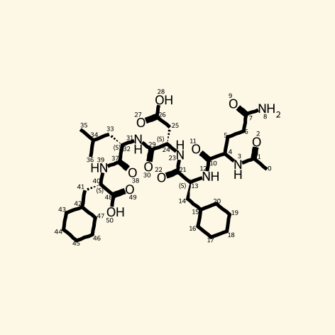 CC(=O)NC(CCC(N)=O)C(=O)N[C@@H](CC1CCCCC1)C(=O)N[C@@H](CC(=O)O)C(=O)N[C@@H](CC(C)C)C(=O)N[C@@H](CC1CCCCC1)C(=O)O